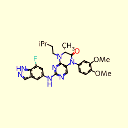 COc1ccc(N2C(=O)[C@@H](C)N(CCC(C)C)c3nc(Nc4cc(F)c5[nH]ncc5c4)ncc32)cc1OC